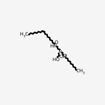 CCCCCCCC/C=C\CCCCCCCC(=O)NCCCN(CCOCCCCCCCCCC)CC(O)CO